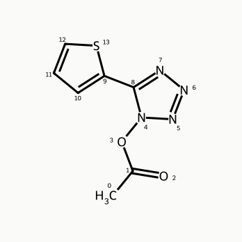 CC(=O)On1nnnc1-c1cccs1